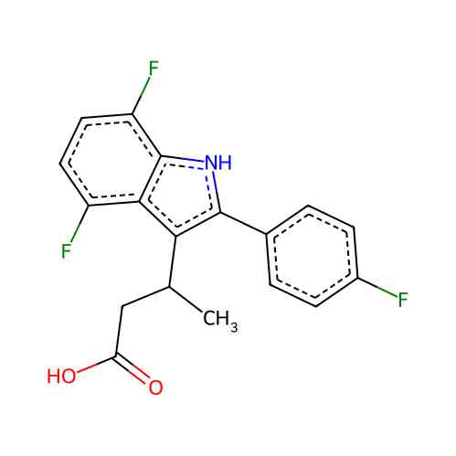 CC(CC(=O)O)c1c(-c2ccc(F)cc2)[nH]c2c(F)ccc(F)c12